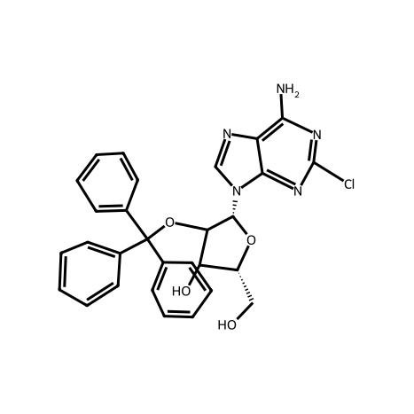 Nc1nc(Cl)nc2c1ncn2[C@@H]1O[C@H](CO)C(O)C1OC(c1ccccc1)(c1ccccc1)c1ccccc1